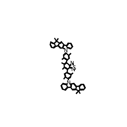 Cc1cc(-n2c3ccccc3c3cc4c(cc32)-c2ccccc2C4(C)C)c(C)cc1-c1c(C)c(C)c(-c2cc(C)c(-n3c4ccccc4c4cc5c(cc43)-c3ccccc3C5(C)C)cc2C)c2nsnc12